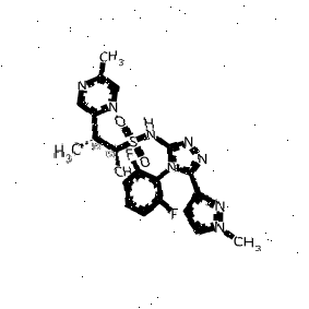 Cc1cnc([C@@H](C)[C@H](C)S(=O)(=O)Nc2nnc(-c3ccn(C)n3)n2-c2c(F)cccc2F)cn1